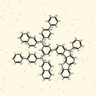 c1ccc(-c2ccc(N(c3cc(-c4ccc5c(c4)c4c6sc7ccccc7c6ccc4n5-c4ccccc4)cc(N(c4ccc(-c5ccccc5)cc4)c4ccc5ccccc5c4)c3)c3ccc4ccccc4c3)cc2)cc1